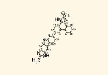 Cc1nc2cc3sc4cc(-c5ccc6c(c5)c5ccccc5c5nc(C)[nH]c65)ccc4c3cc2[nH]1